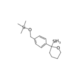 C[Si](C)(C)OCc1ccc(C2([SiH3])CCCCO2)cc1